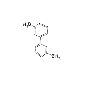 Bc1cccc(-c2cccc(B)c2)c1